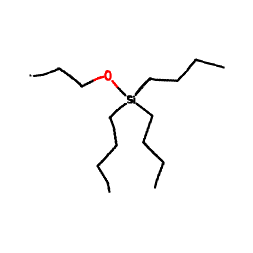 [CH2]CCO[Si](CCCC)(CCCC)CCCC